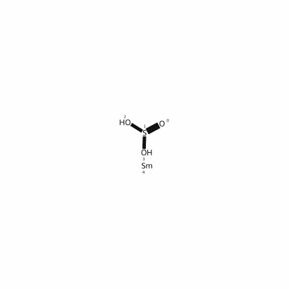 O=S(O)O.[Sm]